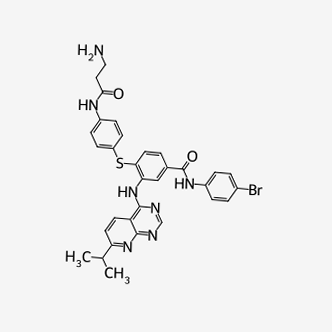 CC(C)c1ccc2c(Nc3cc(C(=O)Nc4ccc(Br)cc4)ccc3Sc3ccc(NC(=O)CCN)cc3)ncnc2n1